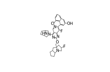 Oc1cc(-c2ncc3c(N4CC5CCC(C4)N5)nc(OCC45CC(F)CN4C4CCCC4C5)nc3c2F)c2c(Cl)cccc2c1